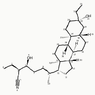 CC[C@H](C#N)[C@@H](O)CC[C@@H](C)[C@H]1CC[C@H]2[C@@H]3CC[C@H]4C[C@](O)(CC)CC[C@]4(C)[C@H]3CC[C@]12C